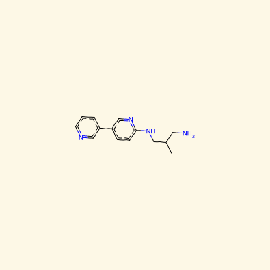 CC(CN)CNc1ccc(-c2cccnc2)cn1